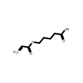 C=CC(=O)OCCCCC(=O)CCC